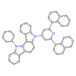 c1ccc(-n2c3ccccc3c3ccc4c(c5ccccc5n4-c4cc(-c5cccc6ccccc56)nc(-c5cccc6ccccc56)c4)c32)cc1